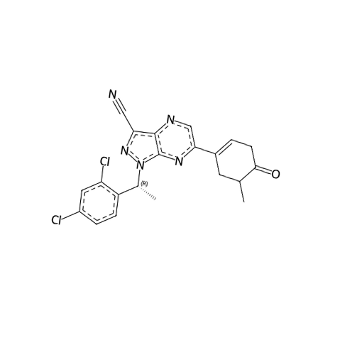 CC1CC(c2cnc3c(C#N)nn([C@H](C)c4ccc(Cl)cc4Cl)c3n2)=CCC1=O